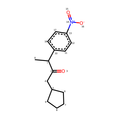 CC(C(=O)CC1CCCC1)c1ccc([N+](=O)[O-])cc1